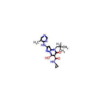 Cc1cncnc1Nc1cc2n(CC(C)(C)C)c(=O)c(C(=O)NC3CC3)c(O)n2n1